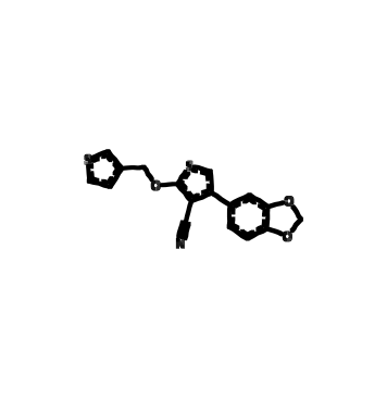 N#Cc1c(-c2ccc3c(c2)OCO3)csc1OCc1ccsc1